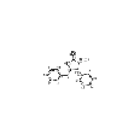 [18F]C1C(Br)OC(Cc2ccccc2)C1c1ccccc1